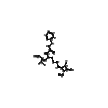 CC(C)=CC(=O)O.CCC(CCSS[C@@H]1[C@@H](OC)C(=O)N1C)NC(=O)OCc1ccccc1